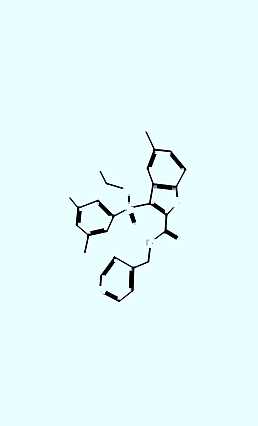 CCOP(=O)(c1cc(C)cc(C)c1)c1c(C(=O)NCc2ccncc2)[nH]c2ccc(Cl)cc12